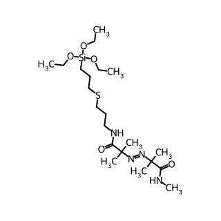 CCO[Si](CCCSCCCNC(=O)C(C)(C)N=NC(C)(C)C(=O)NC)(OCC)OCC